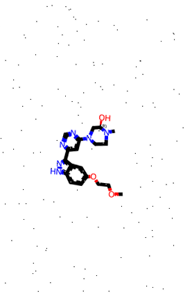 COCCOc1ccc2[nH]nc(-c3cc(N4CCN(C)[C@H](O)C4)ncn3)c2c1